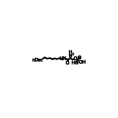 CCCCCCCCCCCCCCCCCCNC(=O)C(N)COP(=O)(O)O